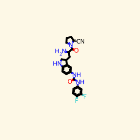 N#C[C@@H]1CCCN1C(=O)C(N)CC1CNc2ccc(NC(=O)Nc3ccc(F)c(F)c3)cc21